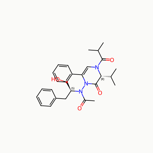 CC(=O)N([C@H](CO)Cc1ccccc1)N1C(=O)[C@@H](C(C)C)N(C(=O)C(C)C)C=C1c1ccccc1